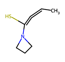 CC=C=C(S)N1CCC1